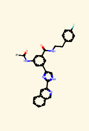 CC(C)C(=O)Nc1cc(C(=O)NCCc2ccc(F)cc2)cc(-c2c[nH]c(-c3cc4ccccc4cn3)n2)c1